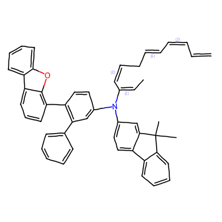 C=C/C=C\C=C\C/C=C\C(=C/C)N(c1ccc(-c2cccc3c2oc2ccccc23)c(-c2ccccc2)c1)c1ccc2c(c1)C(C)(C)c1ccccc1-2